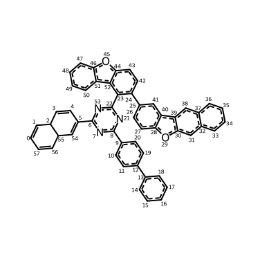 C1=CC2C=CC(c3nc(-c4ccc(-c5ccccc5)cc4)nc(-c4c(-c5ccc6oc7cc8ccccc8cc7c6c5)ccc5oc6ccccc6c45)n3)=CC2C=C1